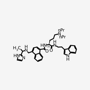 CCCN(CCC)CCC[C@H](NC(=O)c1ccc(CNC(C)c2ncc[nH]2)c2ccccc12)C(=O)NCCc1c[nH]c2ccccc12